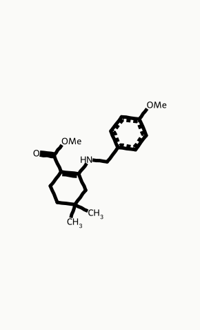 COC(=O)C1=C(NCc2ccc(OC)cc2)CC(C)(C)CC1